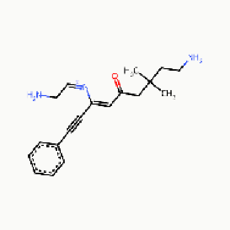 CC(C)(CCN)CC(=O)C=C(C#Cc1ccccc1)/N=C\CN